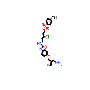 Cc1ccc(S(=O)(=O)OCCC(Cl)CCNc2nc3ccc(OC/C(=C\F)CN)cc3o2)cc1